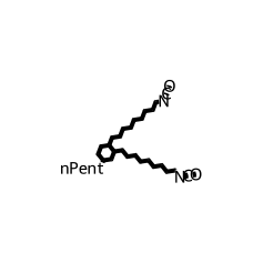 CCCCCC1CCC(CCCCCCCCCN=C=O)C(CCCCCCCCCN=C=O)C1